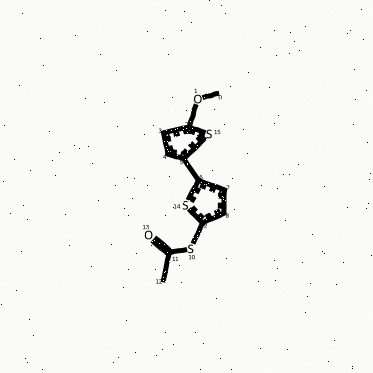 COc1ccc(-c2ccc(SC(C)=O)s2)s1